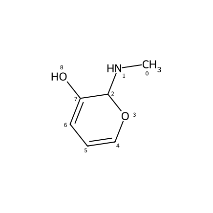 CNC1OC=CC=C1O